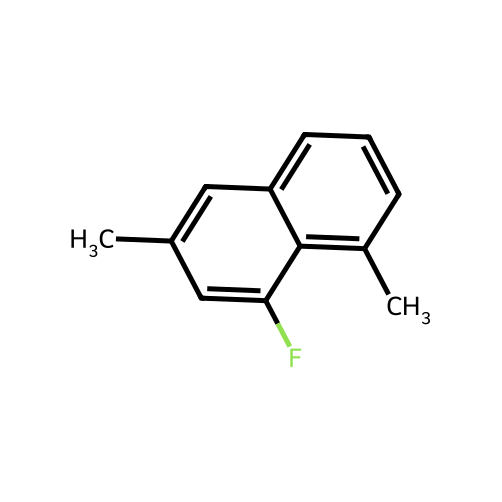 Cc1cc(F)c2c(C)cccc2c1